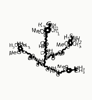 COc1cc(C(C)N)ccc1OCCCC(=O)ONCCNC(=O)CCN(CCC(=O)NCCNOC(=O)CCCOc1cc(C)c(C(C)N)cc1OC)CCN(CCC(=O)NCCNOC(=O)CCCOc1cc(C)c(C(C)N)cc1OC)CCC(=O)NCCNOC(=O)CCCOc1cc(C)c(C(C)N)cc1OC